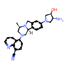 C[C@@H]1CN(c2ccc(C#N)c3ncccc23)C[C@@H]2c3ccc(N4CC(O)[C@@H](N)C4)cc3CN12